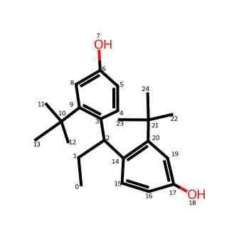 CCC(c1ccc(O)cc1C(C)(C)C)c1ccc(O)cc1C(C)(C)C